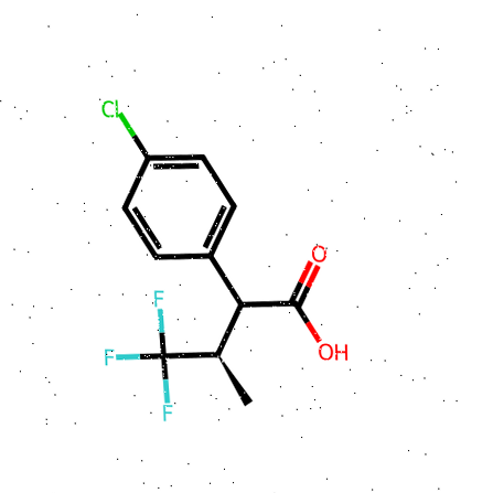 C[C@H](C(C(=O)O)c1ccc(Cl)cc1)C(F)(F)F